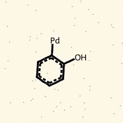 Oc1cccc[c]1[Pd]